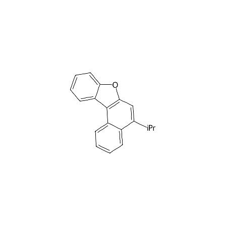 CC(C)c1cc2oc3ccccc3c2c2ccccc12